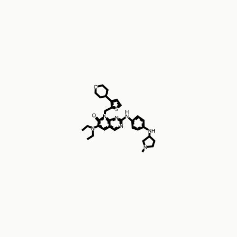 CCN(CC)c1cc2cnc(Nc3ccc(NC4CCN(C)C4)cc3)nc2n(Cc2sccc2C2CCOCC2)c1=O